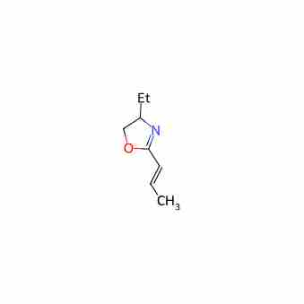 CC=CC1=NC(CC)CO1